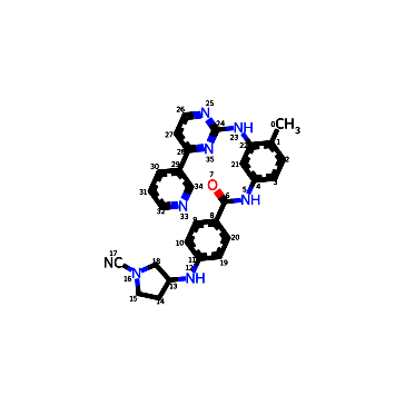 Cc1ccc(NC(=O)c2ccc(NC3CCN(C#N)C3)cc2)cc1Nc1nccc(-c2cccnc2)n1